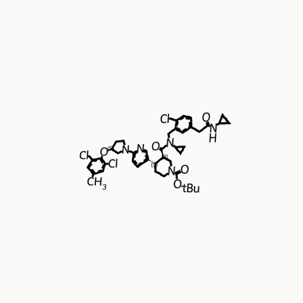 Cc1cc(Cl)c(O[C@H]2CCN(c3ccc([C@H]4CCN(C(=O)OC(C)(C)C)C[C@@H]4C(=O)N(Cc4cc(CC(=O)NC5CC5)ccc4Cl)C4CC4)cn3)C2)c(Cl)c1